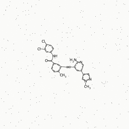 Cc1ccc(C(=O)Nc2ccc(Cl)c(Cl)c2)cc1C#Cc1cc(-c2cnn(C)c2)cnc1N